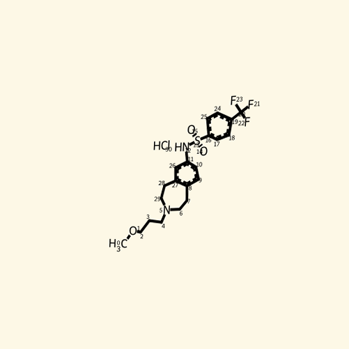 COCCCN1CCc2ccc(NS(=O)(=O)c3ccc(C(F)(F)F)cc3)cc2CC1.Cl